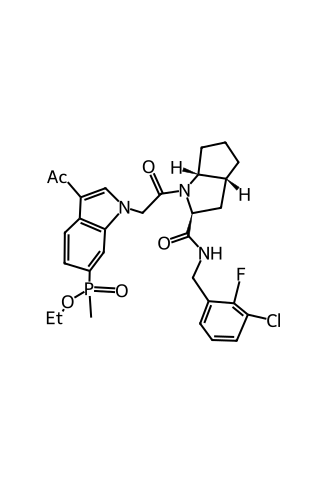 CCOP(C)(=O)c1ccc2c(C(C)=O)cn(CC(=O)N3[C@@H]4CCC[C@@H]4C[C@H]3C(=O)NCc3cccc(Cl)c3F)c2c1